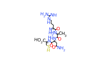 C[C@H](NC(=O)[C@@H](N)CCCNC(=N)N)C(=O)N[C@@H](CC(N)=O)C(=O)N[C@@H](CS)C(=O)O